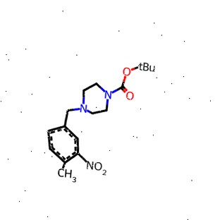 Cc1ccc(CN2CCN(C(=O)OC(C)(C)C)CC2)cc1[N+](=O)[O-]